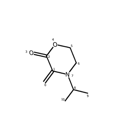 C=C1C(=O)OCCN1C(C)C